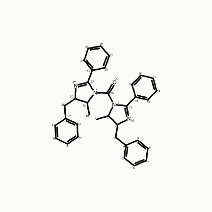 CC1C(Cc2ccccc2)N=C(c2ccccc2)N1C(=O)N1C(c2ccccc2)=NC(Cc2ccccc2)C1C